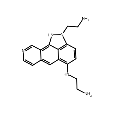 NCCNc1ccc2c3c(c4cnccc4cc13)NN2CCN